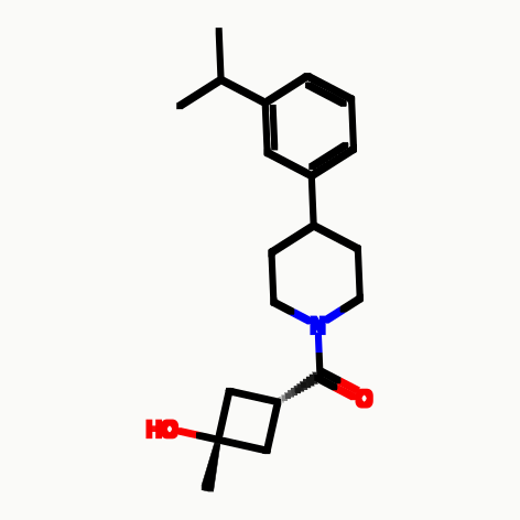 CC(C)c1cccc(C2CCN(C(=O)[C@H]3C[C@@](C)(O)C3)CC2)c1